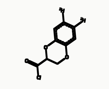 [2H]c1cc2c(cc1[2H])OC(C(=O)Cl)CO2